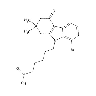 CC1(C)CC(=O)c2c(n(CCCCCC(=O)O)c3c(Br)cccc23)C1